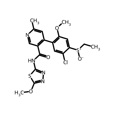 CC[S+]([O-])c1cc(OC)c(-c2cc(C)ncc2C(=O)Nc2nnc(OC)s2)cc1Cl